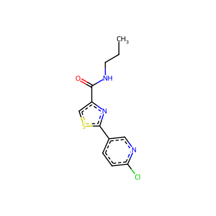 CCCNC(=O)c1csc(-c2ccc(Cl)nc2)n1